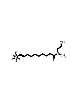 CN(CCO)C(=O)CCCCCCC/C=C/S(F)(F)(F)(F)F